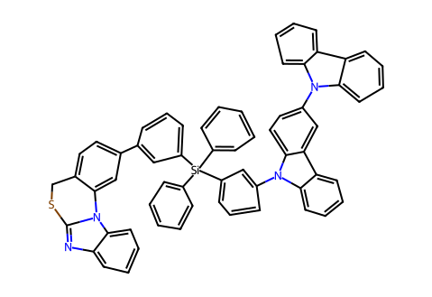 c1ccc([Si](c2ccccc2)(c2cccc(-c3ccc4c(c3)-n3c(nc5ccccc53)SC4)c2)c2cccc(-n3c4ccccc4c4cc(-n5c6ccccc6c6ccccc65)ccc43)c2)cc1